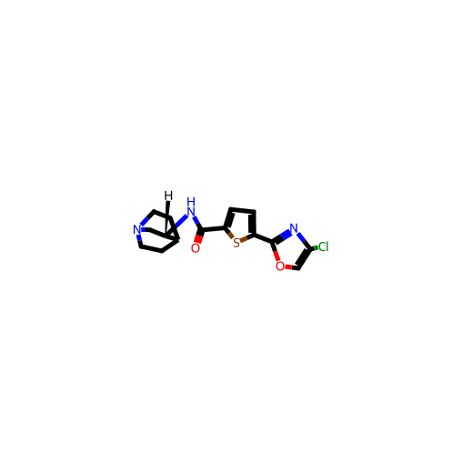 O=C(N[C@H]1CN2CCC1CC2)c1ccc(-c2nc(Cl)co2)s1